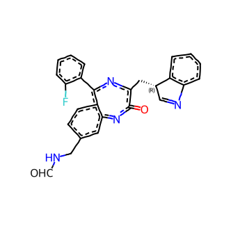 O=CNCc1ccc2c(-c3ccccc3F)nc(C[C@H]3C=Nc4ccccc43)c(=O)nc2c1